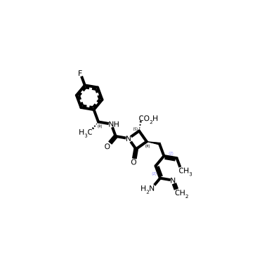 C=N/C(N)=C\C(=C/C)C[C@H]1C(=O)N(C(=O)N[C@H](C)c2ccc(F)cc2)[C@@H]1C(=O)O